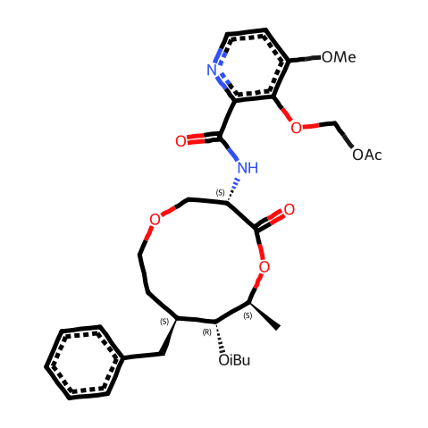 COc1ccnc(C(=O)N[C@H]2COCC[C@H](Cc3ccccc3)[C@@H](OCC(C)C)[C@H](C)OC2=O)c1OCOC(C)=O